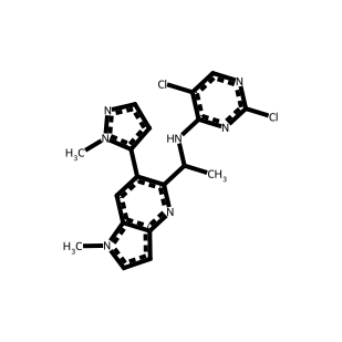 CC(Nc1nc(Cl)ncc1Cl)c1nc2ccn(C)c2cc1-c1ccnn1C